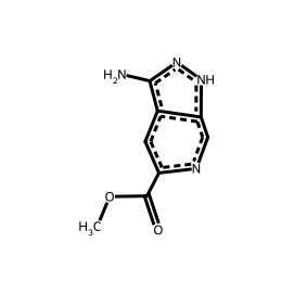 COC(=O)c1cc2c(N)n[nH]c2cn1